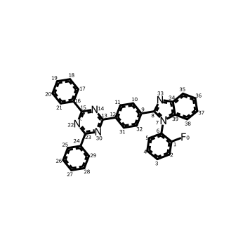 Fc1ccccc1-n1c(-c2ccc(-c3nc(-c4ccccc4)nc(-c4ccccc4)n3)cc2)nc2ccccc21